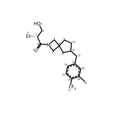 CC[C@H](CO)C(=O)N1CC2(CCC(Cc3ccc(C(F)(F)F)c(C)c3)C2)C1